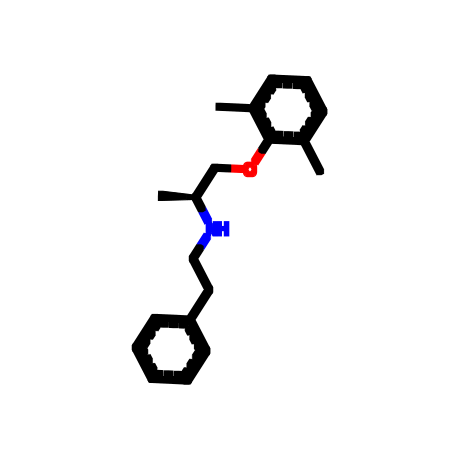 Cc1cccc(C)c1OC[C@H](C)NCCc1ccccc1